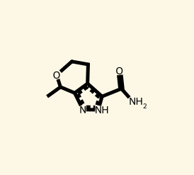 CC1OCCc2c1n[nH]c2C(N)=O